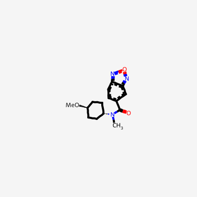 CO[C@H]1CC[C@H](N(C)C(=O)c2ccc3nonc3c2)CC1